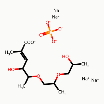 CC(=CC(O)C(C)OCC(C)OCC(C)O)C(=O)[O-].O=P([O-])([O-])[O-].[Na+].[Na+].[Na+].[Na+]